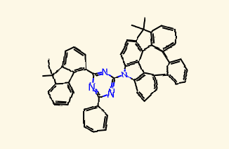 CC1(C)c2ccccc2-c2c(-c3nc(-c4ccccc4)nc(-n4c5cccc6c7ccccc7c7cccc8c7c7c(ccc4c7c65)C8(C)C)n3)cccc21